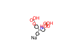 O=C(O)COc1ccc(C(c2cc[c]([Na])cc2)c2ccccn2)cc1.O=S(=O)(O)O